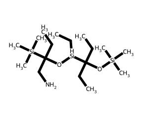 CC[SiH](OC(CC)(CN)[Si](C)(C)C)C(CC)(CC)O[Si](C)(C)C